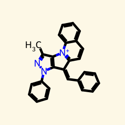 Cc1nn(-c2ccccc2)c2c1-[n+]1c(ccc3ccccc31)C2=Cc1ccccc1